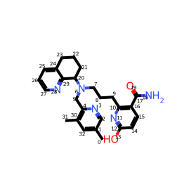 Cc1cnc(CN(CCCc2nc(O)ccc2C(N)=O)C2CCCc3cccnc32)c(C)c1